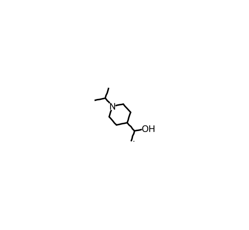 [CH2]C(O)C1CCN(C(C)C)CC1